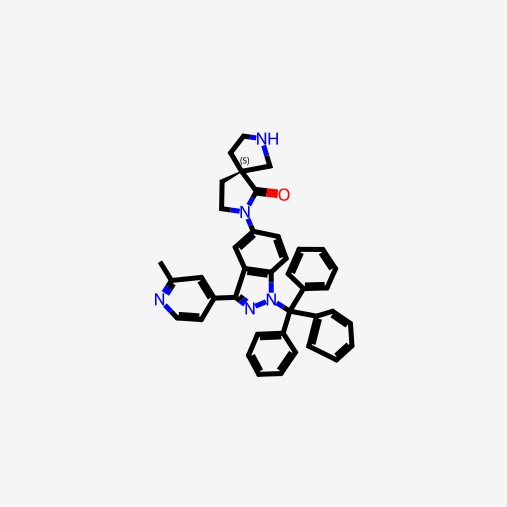 Cc1cc(-c2nn(C(c3ccccc3)(c3ccccc3)c3ccccc3)c3ccc(N4CC[C@]5(CCNC5)C4=O)cc23)ccn1